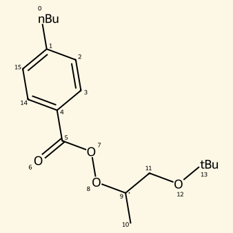 CCCCc1ccc(C(=O)OO[C](C)COC(C)(C)C)cc1